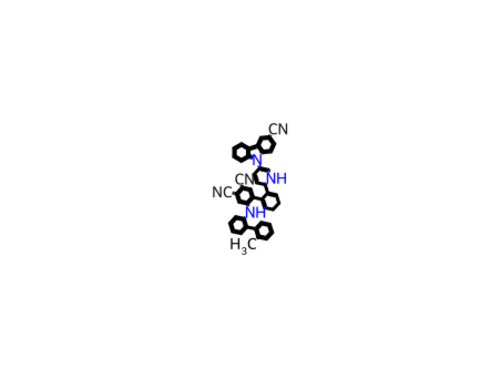 Cc1ccccc1-c1ccccc1Nc1cc(C#N)c(C#N)cc1C1=CCCC=C1C1C=CC(n2c3ccccc3c3cc(C#N)ccc32)=CN1